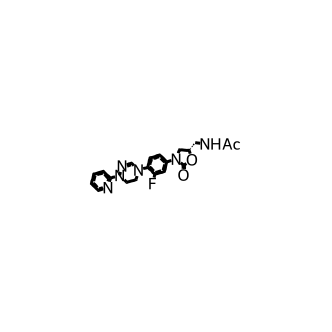 CC(=O)NC[C@H]1CN(c2ccc(N3C=NN(c4ccccn4)CC3)c(F)c2)C(=O)O1